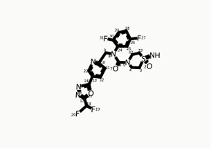 N=S1(=O)CCN(C(=O)N(Cc2ccc(-c3nnc(C(F)F)o3)cn2)c2cc(F)ccc2F)CC1